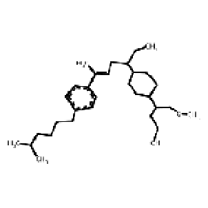 CCC(C/C=C(\C)c1ccc(CCCCC(C)C)cc1)C1CCC(C(CCO)COC)CC1